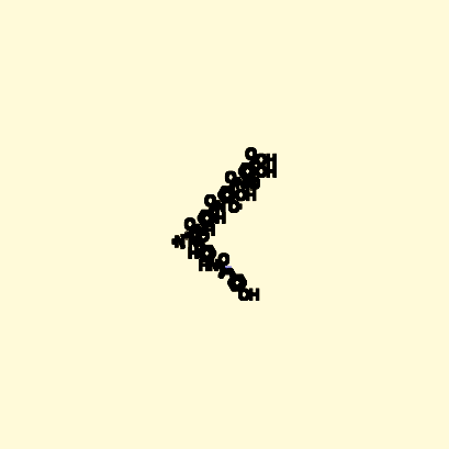 COc1c(NC(=O)c2ccc(NC(=O)c3ccc(NC(=O)[C@@H](CN(C)C)NC(=O)c4ccc(NC(=O)/C(C)=C/c5ccc(O)cc5)cc4)cc3)c(OC)c2O)ccc(C(=O)O)c1O